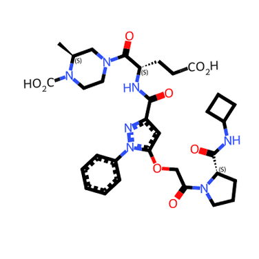 C[C@H]1CN(C(=O)[C@H](CCC(=O)O)NC(=O)c2cc(OCC(=O)N3CCC[C@H]3C(=O)NC3CCC3)n(-c3ccccc3)n2)CCN1C(=O)O